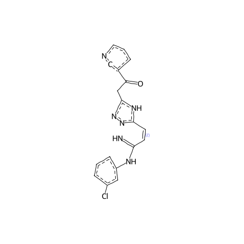 N=C(/C=C\c1nnc(CC(=O)c2cccnc2)[nH]1)Nc1cccc(Cl)c1